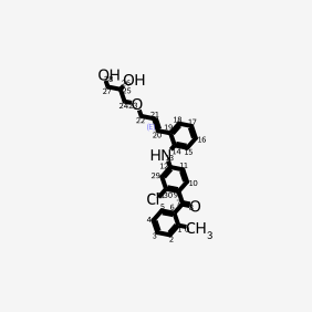 Cc1ccccc1C(=O)c1ccc(Nc2ccccc2/C=C/COCC(O)CO)cc1Cl